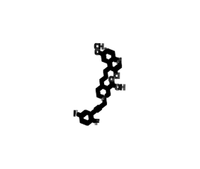 COc1ccc2ncc(Cl)c(CCCC3CCN(CC#Cc4cc(F)ccc4F)CC3C(=O)O)c2c1